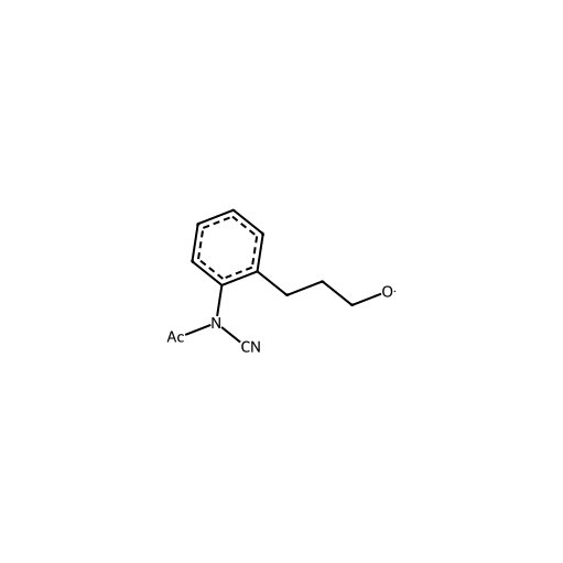 CC(=O)N(C#N)c1ccccc1CCC[O]